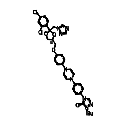 CCC(C)n1ncn(-c2ccc(N3C=CN(c4ccc(OC[C@H]5CO[C@](Cn6cncn6)(c6ccc(Cl)cc6Cl)O5)cc4)C=C3)cc2)c1=O